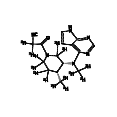 [2H]C([2H])([N+]#[C-])C(=O)N1C([2H])([2H])[C@H](N(c2ncnc3[nH]ccc23)C([2H])([2H])[2H])[C@H](C([2H])([2H])[2H])C([2H])([2H])C1([2H])[2H]